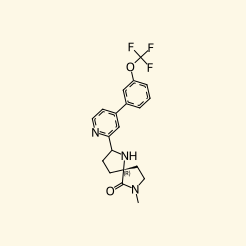 CN1CC[C@]2(CCC(c3cc(-c4cccc(OC(F)(F)F)c4)ccn3)N2)C1=O